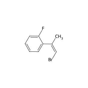 C/C(=C/Br)c1ccccc1F